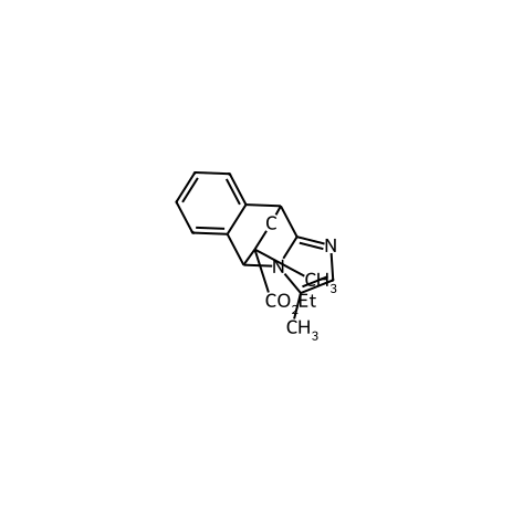 CCOC(=O)C1(C)CC2c3ccccc3C1n1c(C)cnc12